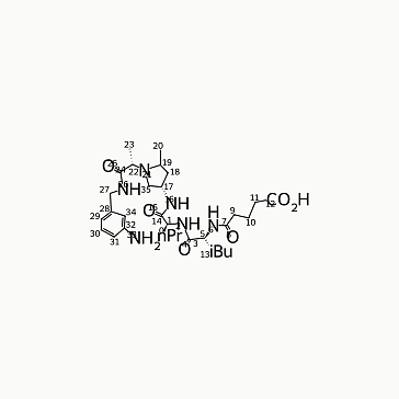 CCC[C@H](NC(=O)[C@@H](NC(=O)CCCC(=O)O)[C@@H](C)CC)C(=O)N[C@H]1CC(C)N([C@@H](C)C(=O)NCc2cccc(N)c2)C1